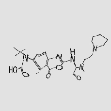 Cc1c(N(C(=O)O)C(C)(C)C)ccc2nc(N[C@H](C=O)N(C)CCN3CCCCC3)oc(=O)c12